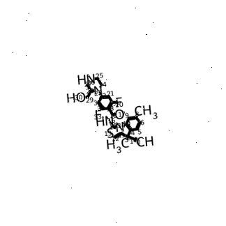 C#CC(C)(c1ccc(C)cc1)c1csc(NC(=O)c2c(F)cc(N3CCNCC3CO)cc2F)n1